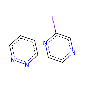 Ic1cnccn1.c1ccnnc1